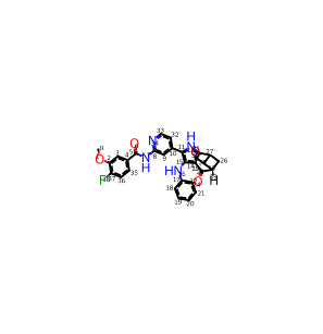 COc1cc(C(=O)Nc2cc(-c3[nH]c4c(c3Nc3ccccc3)C(=O)[C@H]3CC4[C@]3(C)C=O)ccn2)ccc1F